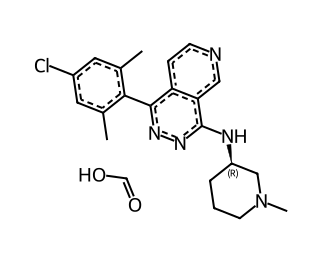 Cc1cc(Cl)cc(C)c1-c1nnc(N[C@@H]2CCCN(C)C2)c2cnccc12.O=CO